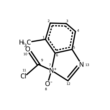 Cc1cccc2c1[N+]([O-])(C(=O)Cl)C=N2